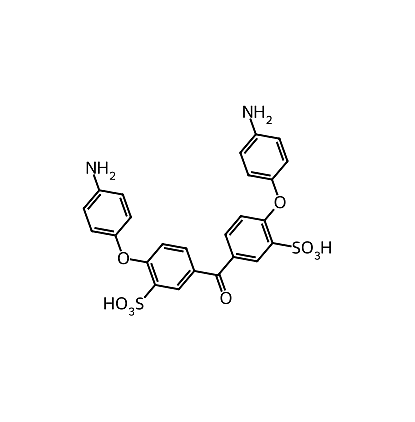 Nc1ccc(Oc2ccc(C(=O)c3ccc(Oc4ccc(N)cc4)c(S(=O)(=O)O)c3)cc2S(=O)(=O)O)cc1